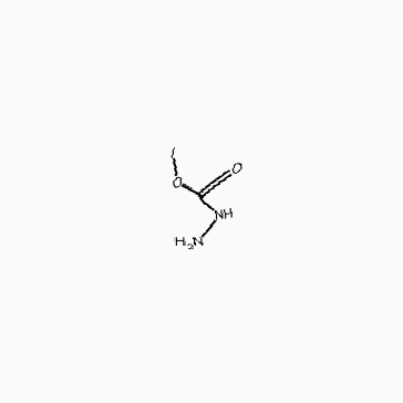 NNC(=O)OI